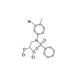 CCOC(CN(c1ccc(C)c(Br)c1)S(=O)(=O)c1ccccc1)OCC